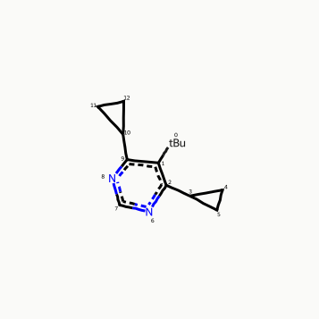 CC(C)(C)c1c(C2CC2)ncnc1C1CC1